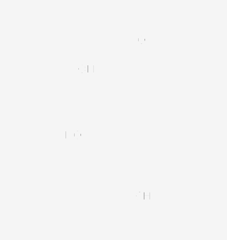 Cc1cc(O)c2c(CO)c(CO)ccc2c1